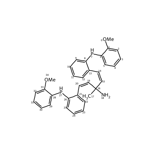 COc1ccccc1Pc1ccccc1/C=C\C(C)(N)/C=C\c1ccccc1Pc1ccccc1OC